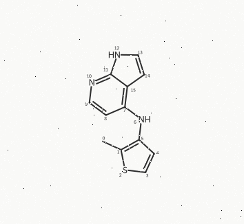 Cc1sccc1Nc1ccnc2[nH]ccc12